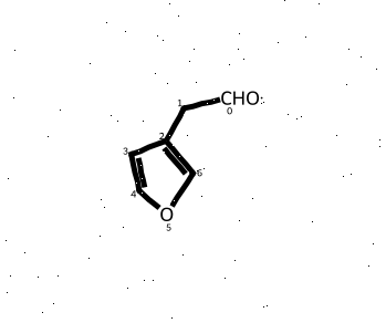 O=[C]Cc1ccoc1